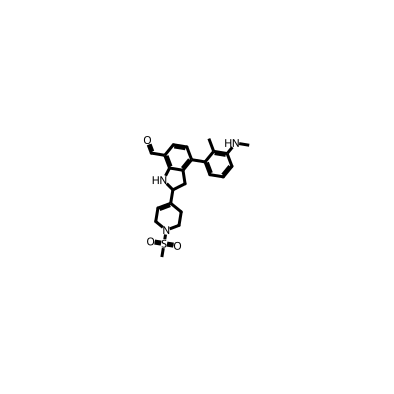 CNc1cccc(-c2ccc(C=O)c3c2CC(C2=CCN(S(C)(=O)=O)CC2)N3)c1C